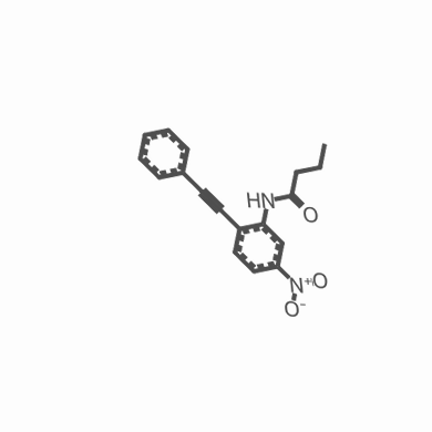 CCCC(=O)Nc1cc([N+](=O)[O-])ccc1C#Cc1ccccc1